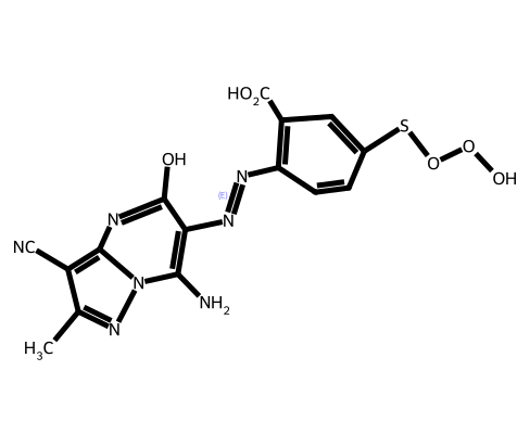 Cc1nn2c(N)c(/N=N/c3ccc(SOOO)cc3C(=O)O)c(O)nc2c1C#N